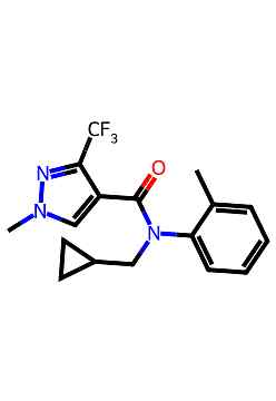 Cc1ccccc1N(CC1CC1)C(=O)c1cn(C)nc1C(F)(F)F